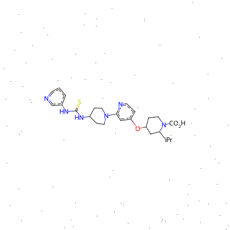 CC(C)C1CC(Oc2ccnc(N3CCC(NC(=S)Nc4cccnc4)CC3)c2)CCN1C(=O)O